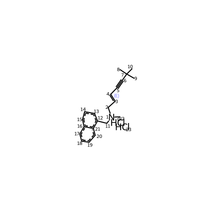 CN(C/C=C/C#CC(C)(C)C)Cc1cccc2ccccc12.Cl.Cl